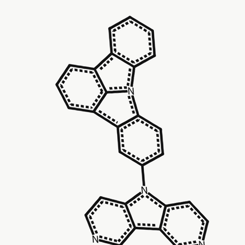 c1ccc2c(c1)c1cccc3c4cc(-n5c6ccncc6c6cnccc65)ccc4n2c13